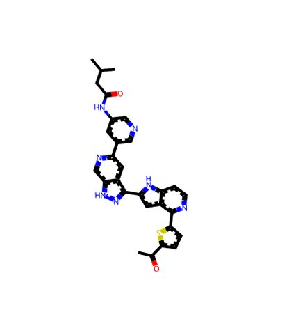 CC(=O)c1ccc(-c2nccc3[nH]c(-c4n[nH]c5cnc(-c6cncc(NC(=O)CC(C)C)c6)cc45)cc23)s1